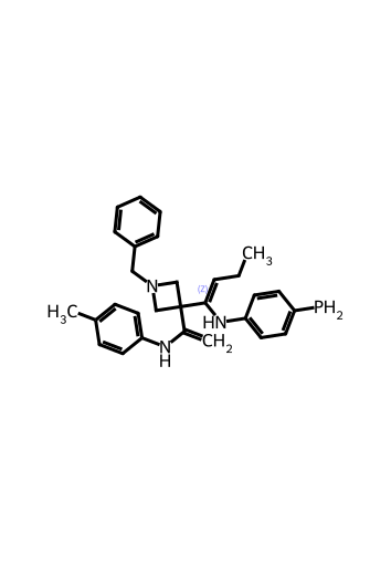 C=C(Nc1ccc(C)cc1)C1(/C(=C/CC)Nc2ccc(P)cc2)CN(Cc2ccccc2)C1